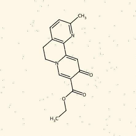 CCOC(=O)c1cn2c(cc1=O)-c1nc(C)ccc1CC2